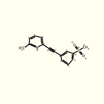 Cc1cccc(C#Cc2cccc(S(C)(=O)=O)c2)n1